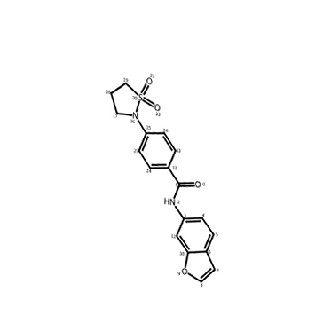 O=C(Nc1ccc2ccoc2c1)c1ccc(N2CCCS2(=O)=O)cc1